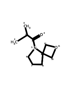 CC(C)C(=O)N1CCCC12COC2